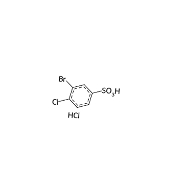 Cl.O=S(=O)(O)c1ccc(Cl)c(Br)c1